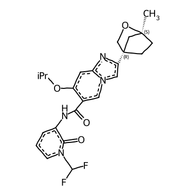 CC(C)Oc1cc2nc([C@@]34CC[C@@](C)(C3)OC4)cn2cc1C(=O)Nc1cccn(C(F)F)c1=O